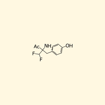 CC(=O)C(N)(Cc1ccc(O)cc1)C(F)F